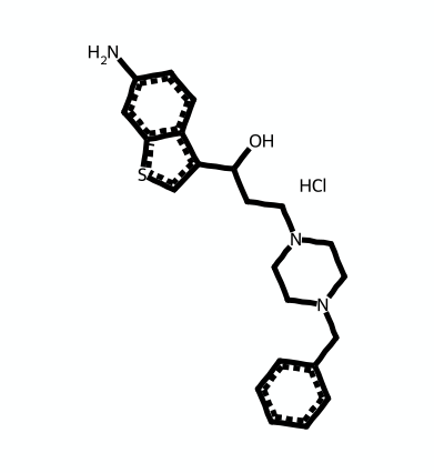 Cl.Nc1ccc2c(C(O)CCN3CCN(Cc4ccccc4)CC3)csc2c1